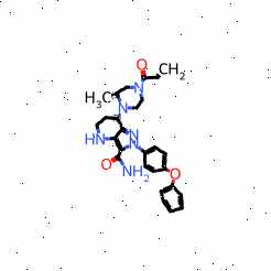 C=CC(=O)N1CCN([C@@H]2CCNc3c2nn(-c2ccc(Oc4ccccc4)cc2)c3C(N)=O)[C@@H](C)C1